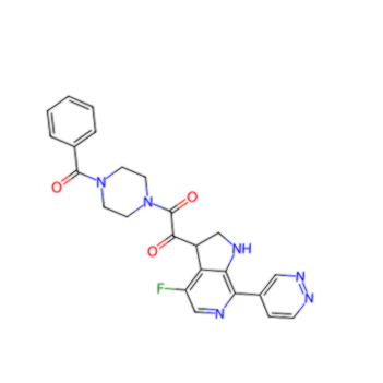 O=C(C(=O)N1CCN(C(=O)c2ccccc2)CC1)C1CNc2c(-c3ccnnc3)ncc(F)c21